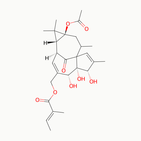 C/C=C(\C)C(=O)OCC1=C[C@@H]2C(=O)C3(C=C(C)[C@H](O)[C@@]3(O)[C@@H]1O)C(C)C[C@]1(OC(C)=O)[C@H]2C1(C)C